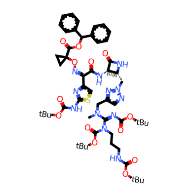 CN(Cc1cnn(C[C@H]2NC(=O)[C@H]2NC(=O)C(=NOC2(C(=O)OC(c3ccccc3)c3ccccc3)CC2)c2csc(NC(=O)OC(C)(C)C)n2)n1)C(=NC(=O)OC(C)(C)C)N(CCCNC(=O)OC(C)(C)C)C(=O)OC(C)(C)C